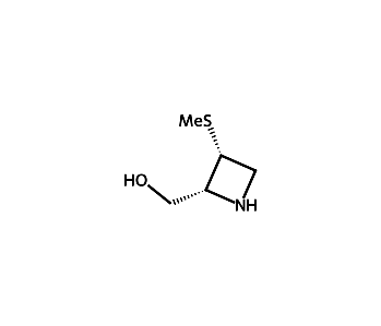 CS[C@@H]1CN[C@@H]1CO